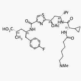 CNCCCCCC(=O)N[C@H](C(=O)N[C@H](C[C@@H](OC(C)=O)c1nc(C(=O)N[C@@H](Cc2ccc(F)cc2)C[C@H](C)C(=O)O)cs1)C(C)C)C1CC1